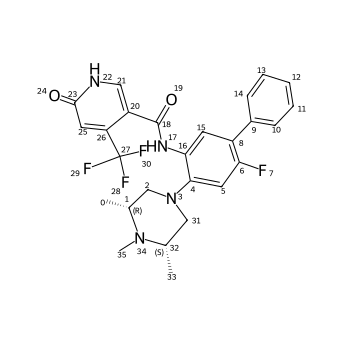 C[C@@H]1CN(c2cc(F)c(-c3ccccc3)cc2NC(=O)c2c[nH]c(=O)cc2C(F)(F)F)C[C@H](C)N1C